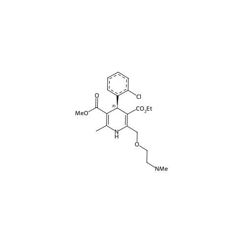 CCOC(=O)C1=C(COCCNC)NC(C)=C(C(=O)OC)[C@H]1c1ccccc1Cl